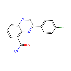 NC(=O)c1cccc2ncc(-c3ccc(F)cc3)nc12